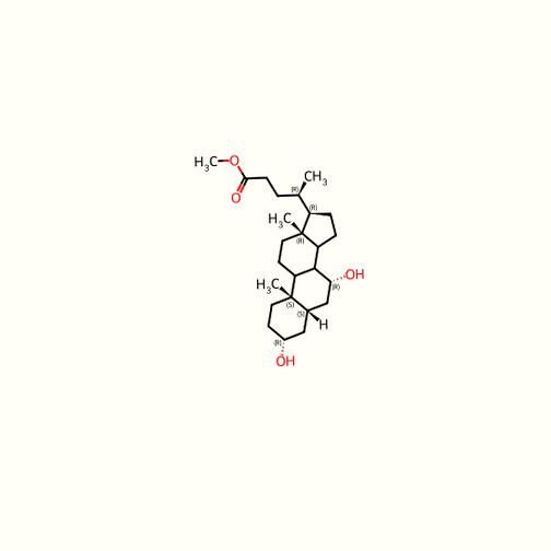 COC(=O)CC[C@@H](C)[C@H]1CCC2C3C(CC[C@@]21C)[C@@]1(C)CC[C@@H](O)C[C@H]1C[C@H]3O